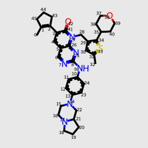 CC1=C(c2cc3cnc(Nc4ccc(N5CCN6CCCC6C5)cc4)nc3n(Cc3cc(C)sc3C3CCOCC3)c2=O)CCC1